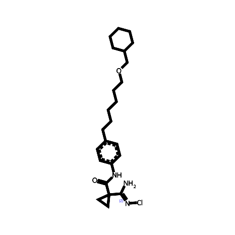 N/C(=N\Cl)C1(C(=O)Nc2ccc(CCCCCCOCC3CCCCC3)cc2)CC1